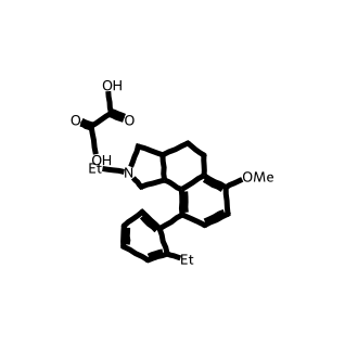 CCc1ccccc1-c1ccc(OC)c2c1C1CN(CC)CC1CC2.O=C(O)C(=O)O